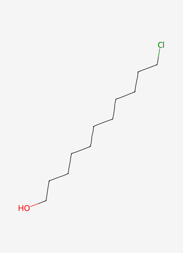 OCCCCCCCCCCCCl